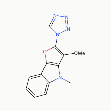 COc1c(-n2cnnn2)oc2c3ccccc3n(C)c12